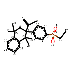 C=C(C)C1(c2ccc(S(=O)(=O)CC)cc2)CC(C)(C)c2ccccc2C1(C)C